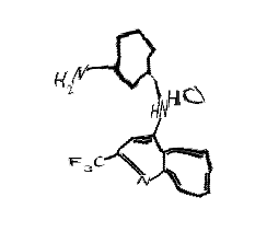 Cl.NC1CCC[C@@H](Nc2cc(C(F)(F)F)nc3ccccc23)C1